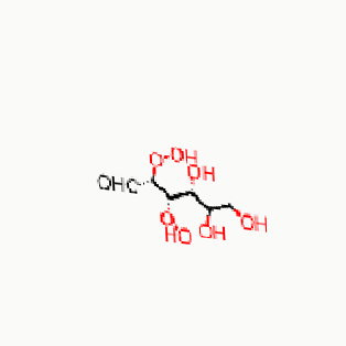 O=C[C@H](OO)[C@@H](OO)[C@H](O)[C@H](O)CO